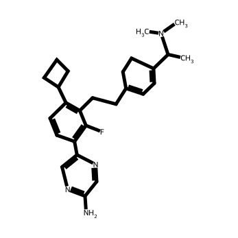 CC(C1=CC=C(CCc2c(C3CCC3)ccc(-c3cnc(N)cn3)c2F)CC1)N(C)C